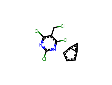 ClCc1c(Cl)nc(Cl)nc1Cl.c1cc2cc-2c1